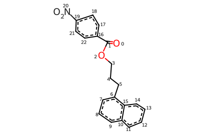 O=C(OCCCc1cccc2ccccc12)c1ccc([N+](=O)[O-])cc1